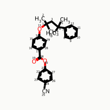 CC(C)(CC(C)(C)c1ccccc1)Oc1ccc(C(=O)Oc2ccc(C#N)cc2)cc1